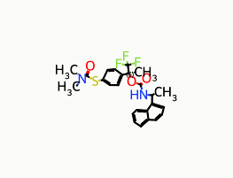 CC(NC(=O)O[C@@](C)(c1ccc(SC(=O)N(C)C)cc1)C(F)(F)F)c1cccc2ccccc12